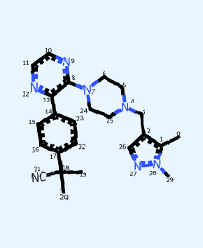 Cc1c(CN2CCN(c3nccnc3-c3ccc(C(C)(C)C#N)cc3)CC2)cnn1C